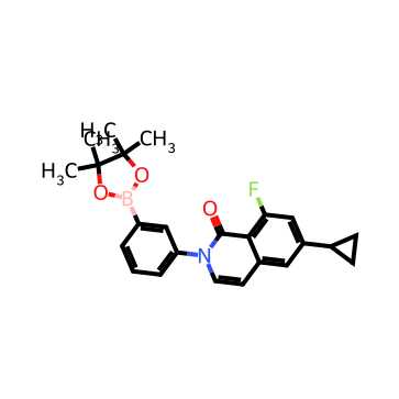 CC1(C)OB(c2cccc(-n3ccc4cc(C5CC5)cc(F)c4c3=O)c2)OC1(C)C